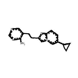 Nc1ncncc1CCc1cn2cc(C3CC3)ccc2n1